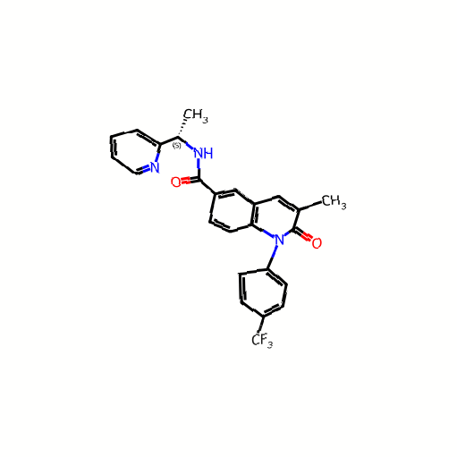 Cc1cc2cc(C(=O)N[C@@H](C)c3ccccn3)ccc2n(-c2ccc(C(F)(F)F)cc2)c1=O